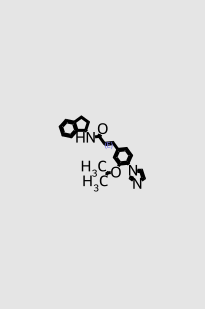 CC(C)Oc1cc(/C=C/C(=O)NC2CCc3ccccc32)ccc1-n1ccnc1